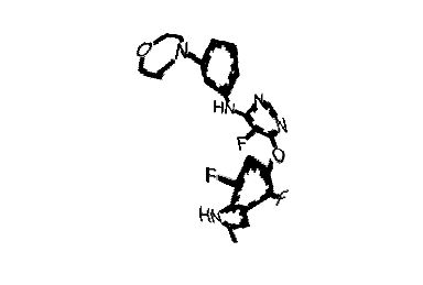 Cc1cc2c(F)c(Oc3ncnc(Nc4cccc(N5CCOCC5)c4)c3F)cc(F)c2[nH]1